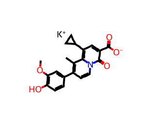 COc1cc(-c2ccn3c(=O)c(C(=O)[O-])cc(C4CC4)c3c2C)ccc1O.[K+]